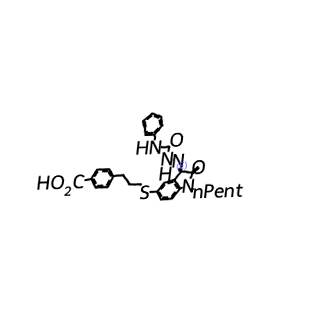 CCCCCN1C(=O)/C(=N/NC(=O)Nc2ccccc2)c2cc(SCCCc3ccc(C(=O)O)cc3)ccc21